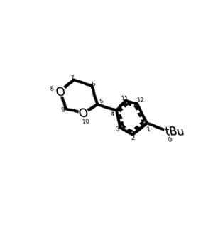 CC(C)(C)c1ccc(C2CCOCO2)cc1